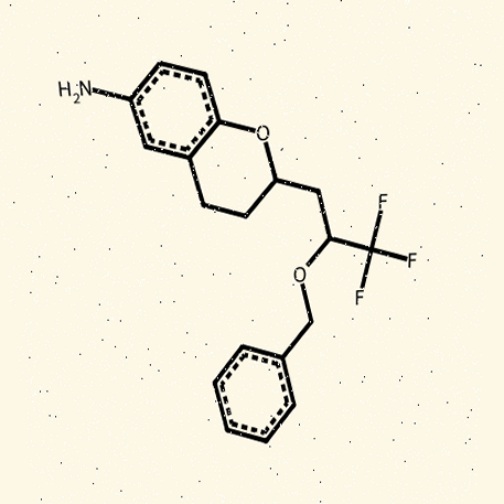 Nc1ccc2c(c1)CCC(CC(OCc1ccccc1)C(F)(F)F)O2